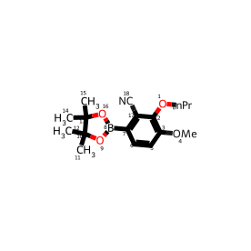 CCCOc1c(OC)ccc(B2OC(C)(C)C(C)(C)O2)c1C#N